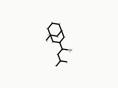 CC(C)CC(O)C1CC2CCCC(C)(C2)C1